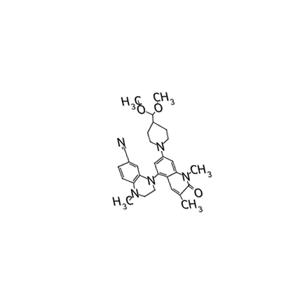 COC(OC)C1CCN(c2cc(N3CCN(C)c4ccc(C#N)cc43)c3cc(C)c(=O)n(C)c3c2)CC1